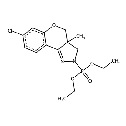 CCOP(=O)(OCC)N1CC2(C)COc3cc(Cl)ccc3C2=N1